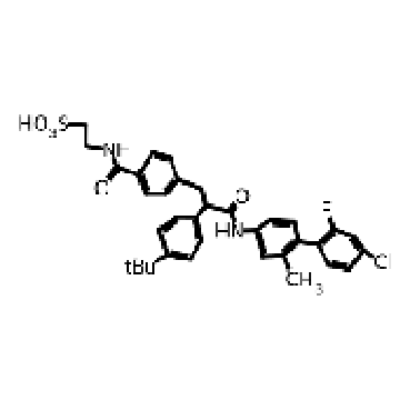 Cc1cc(NC(=O)C(Cc2ccc(C(=O)NCCS(=O)(=O)O)cc2)c2ccc(C(C)(C)C)cc2)ccc1-c1ccc(Cl)cc1F